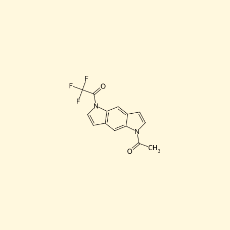 CC(=O)n1ccc2cc3c(ccn3C(=O)C(F)(F)F)cc21